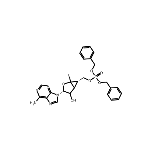 Nc1ncnc2c1ncn2[C@@H]1OC2(F)C(C1O)[C@H]2COP(=O)(OCc1ccccc1)OCc1ccccc1